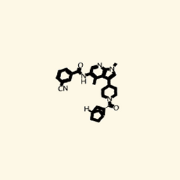 Cc1c(NC(=O)c2cccc(C#N)c2)cnc2c1c(C1CCN(C(=O)[C@H]3C[C@H]4CCC3C4)CC1)cn2C